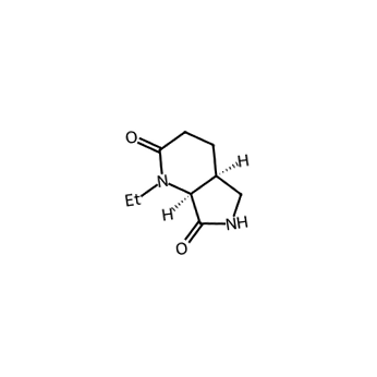 CCN1C(=O)CC[C@H]2CNC(=O)[C@H]21